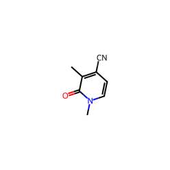 Cc1c(C#N)ccn(C)c1=O